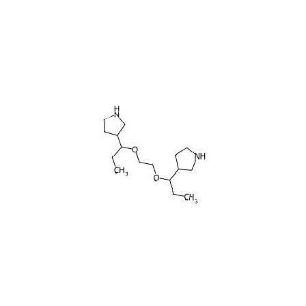 CCC(OCCOC(CC)C1CCNC1)C1CCNC1